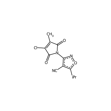 CC1=C(Cl)C(=O)N(c2noc(C(C)C)c2C#N)C1=O